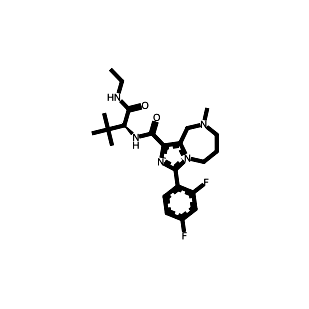 CCNC(=O)[C@@H](NC(=O)c1nc(-c2ccc(F)cc2F)n2c1CN(C)CCC2)C(C)(C)C